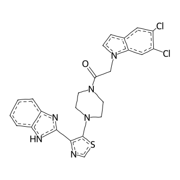 O=C(Cn1ccc2cc(Cl)c(Cl)cc21)N1CCN(c2scnc2-c2nc3ccccc3[nH]2)CC1